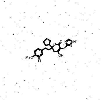 COc1ccc(CCC2(C3CCCC3)CC(O)=C(Sc3nc[nH]n3)C(=O)O2)cc1Cl